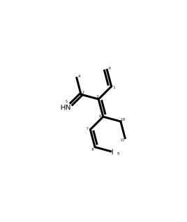 C=C/C(C(C)=N)=C(/C=C\I)CC